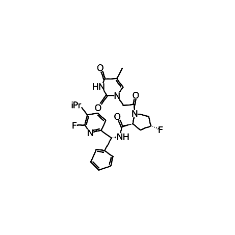 Cc1cn(CC(=O)N2C[C@H](F)C[C@H]2C(=O)N[C@H](c2ccccc2)c2ccc(C(C)C)c(F)n2)c(=O)[nH]c1=O